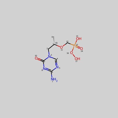 C[C@@H](Cn1cnc(N)nc1=O)OCP(=O)(O)OO